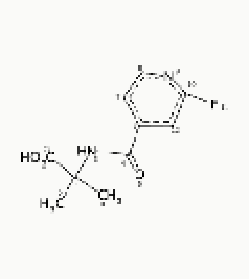 CC(C)(NC(=O)c1ccnc(F)c1)C(=O)O